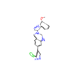 COc1cccc(C(CN)N2C=c3ccc(-c4cn[nH]c4Cl)cc3=NC2)c1